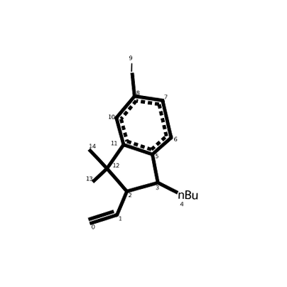 C=CC1C(CCCC)c2ccc(I)cc2C1(C)C